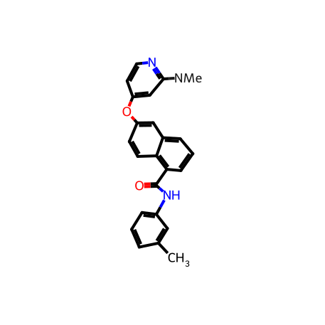 CNc1cc(Oc2ccc3c(C(=O)Nc4cccc(C)c4)cccc3c2)ccn1